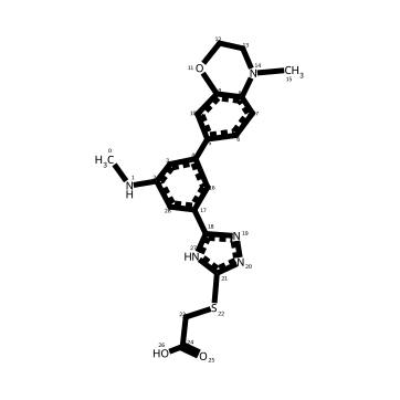 CNc1cc(-c2ccc3c(c2)OCCN3C)cc(-c2nnc(SCC(=O)O)[nH]2)c1